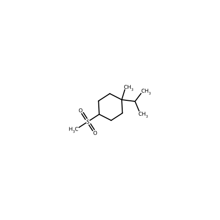 CC(C)C1(C)CCC(S(C)(=O)=O)CC1